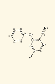 N#Cc1ncc(F)cc1Oc1ccccc1